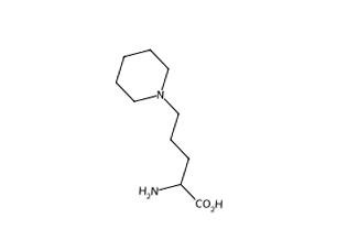 NC(CCCN1CCCCC1)C(=O)O